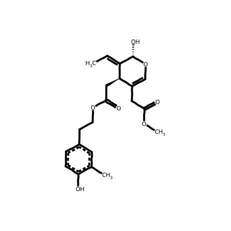 C/C=C1/[C@H](O)OC=C(CC(=O)OC)[C@H]1CC(=O)OCCc1ccc(O)c(C)c1